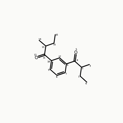 CCC(C)C(=O)c1cccc(C(=O)C(C)CC)c1